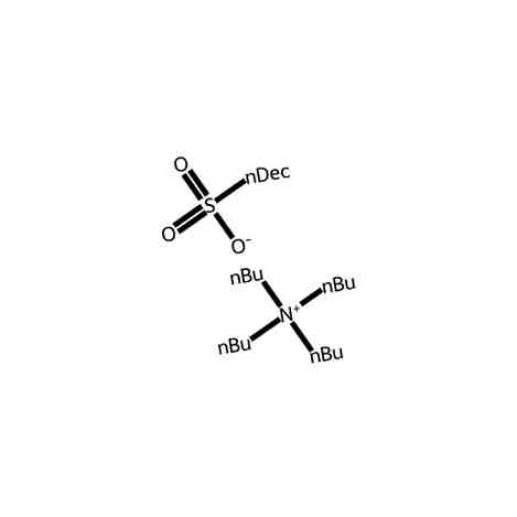 CCCCCCCCCCS(=O)(=O)[O-].CCCC[N+](CCCC)(CCCC)CCCC